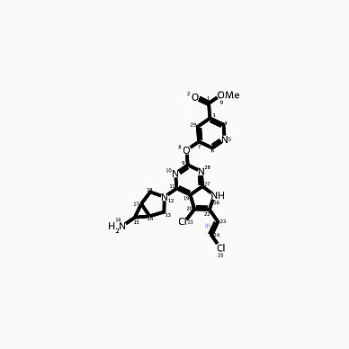 COC(=O)c1cncc(Oc2nc(N3CC4C(N)C4C3)c3c(Cl)c(/C=C/Cl)[nH]c3n2)c1